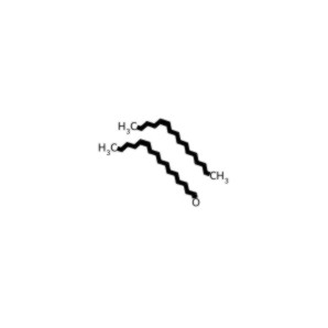 CCCC/C=C\CCCCCCCCCC.CCCC/C=C\CCCCCCCCCC=O